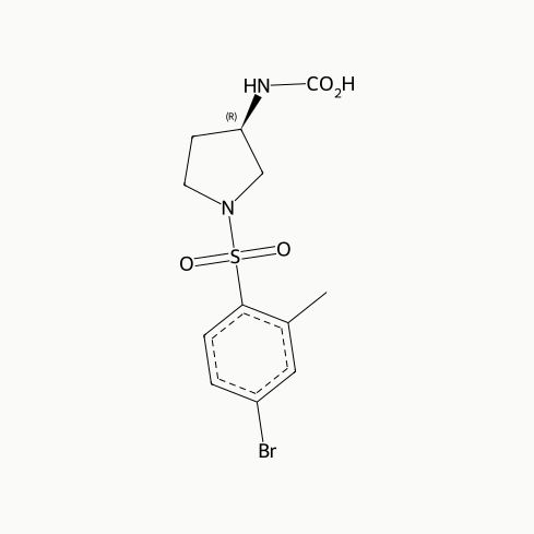 Cc1cc(Br)ccc1S(=O)(=O)N1CC[C@@H](NC(=O)O)C1